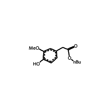 CCCCOC(=O)Cc1ccc(O)c(OC)c1